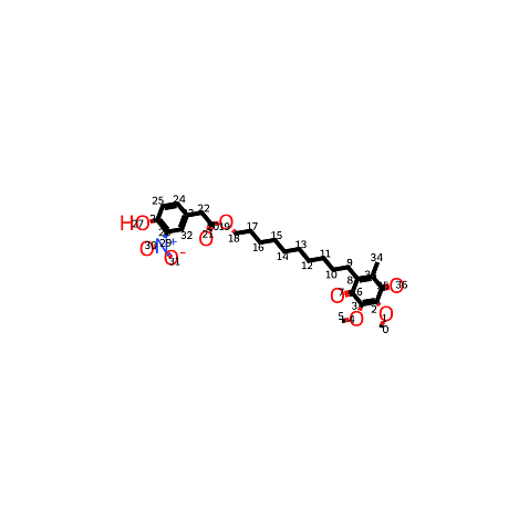 COC1=C(OC)C(=O)C(CCCCCCCCCCOC(=O)Cc2ccc(O)c([N+](=O)[O-])c2)=C(C)C1=O